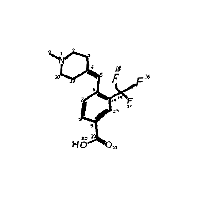 CN1CCC(=Cc2ccc(C(=O)O)cc2C(F)(F)F)CC1